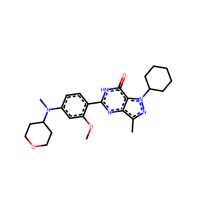 COc1cc(N(C)C2CCOCC2)ccc1-c1nc2c(C)nn(C3CCCCC3)c2c(=O)[nH]1